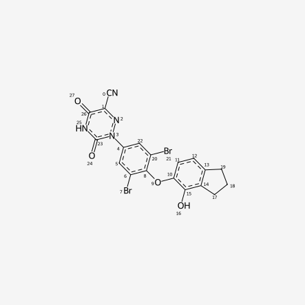 N#Cc1nn(-c2cc(Br)c(Oc3ccc4c(c3O)CCC4)c(Br)c2)c(=O)[nH]c1=O